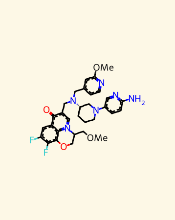 COCC1COc2c(F)c(F)cc3c(=O)c(CN(Cc4ccnc(OC)c4)[C@H]4CCCN(c5ccc(N)nc5)C4)cn1c23